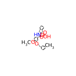 CCOc1ccc(C(=O)NC2(OC(=O)O)Cc3ccccc3C2)cc1OCCc1cccc(C)c1